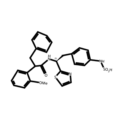 COc1ccccc1C(Cc1ccccc1)C(=O)N[C@@H](Cc1ccc(NS(=O)(=O)O)cc1)c1nccs1